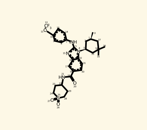 C[C@@H]1C[C@H](n2c(Nc3ccc(OC(F)(F)F)cc3)nc3cc(C(=O)NC4CCS(=O)(=O)CC4)ccc32)CC(C)(C)C1